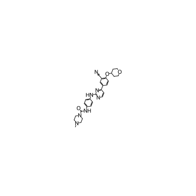 CN1CCN(C(=O)Nc2ccc(Nc3nccc(-c4ccc(OC5CCOCC5)c(C#N)c4)n3)cc2)CC1